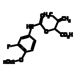 C=C(C)C(OC(=O)Nc1ccc(OCCCCCCCC)c(F)c1)C(=O)O